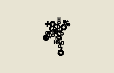 COc1c(C(=O)O)ccc(C(C)(C)C)c1CC(NC(=O)C(NC(=O)C1CCN(S(C)(=O)=O)CC1)c1csc(NC(=O)OCc2ccccc2)n1)B1OC2CC3CC(C3(C)C)[C@]2(C)O1